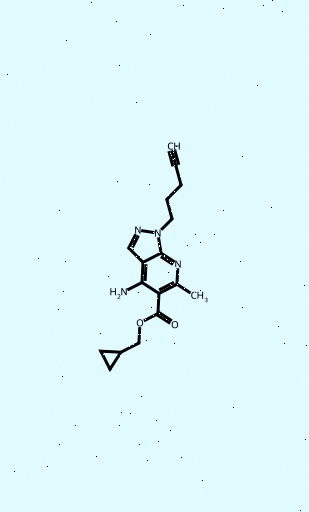 C#CCCCn1ncc2c(N)c(C(=O)OCC3CC3)c(C)nc21